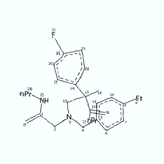 C=C(CN(Cc1ccc(CC)cc1)CC(C)(C(=C)CCC)c1ccc(F)cc1)NCCC